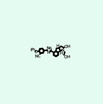 CC(C)Oc1ccc(-c2nsc(-c3cccc4c3C[C@@H]3CC(O)N(CCO)[C@H]43)n2)cc1C#N